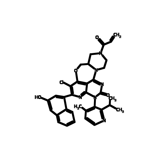 C=CC(=O)N1CCN2c3nc(=O)n(-c4c(C)ccnc4C(C)C)c4nc(-c5cc(O)cc6ccccc56)c(Cl)c(c34)OCC2C1